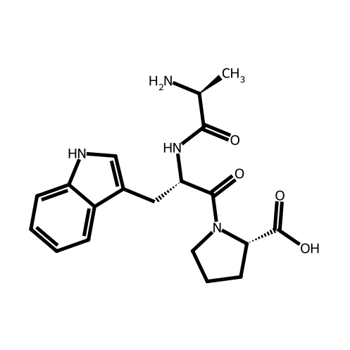 C[C@H](N)C(=O)N[C@@H](Cc1c[nH]c2ccccc12)C(=O)N1CCC[C@H]1C(=O)O